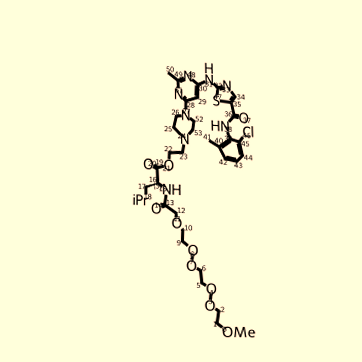 COCCOOCCOOCCOCC(=O)N[C@@H](CC(C)C)C(=O)OCCN1CCN(c2cc(Nc3ncc(C(=O)Nc4c(C)cccc4Cl)s3)nc(C)n2)CC1